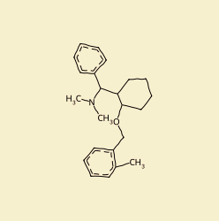 Cc1ccccc1COC1CCCCC1C(c1ccccc1)N(C)C